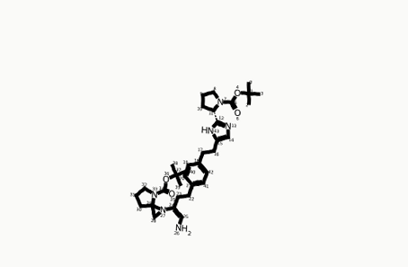 CC(C)(C)OC(=O)N1CCC[C@H]1c1ncc(CCc2ccc(CC/C(=C/N)N3CC34CCCN4C(=O)OC(C)(C)C)cc2)[nH]1